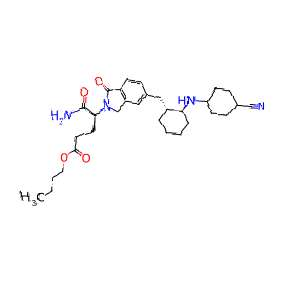 CCCCOC(=O)CC[C@@H](C(N)=O)N1Cc2cc(C[C@H]3CCCC[C@@H]3NC3CCC(C#N)CC3)ccc2C1=O